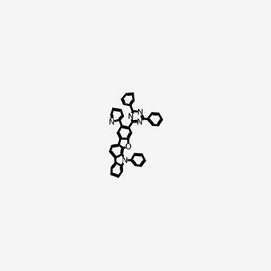 c1ccc(-c2nc(-c3ccccc3)nc(-c3cc4oc5c(ccc6c7ccccc7n(-c7ccccc7)c65)c4cc3-c3ccccn3)n2)cc1